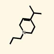 CCCN1CC=C(C(C)C)CC1